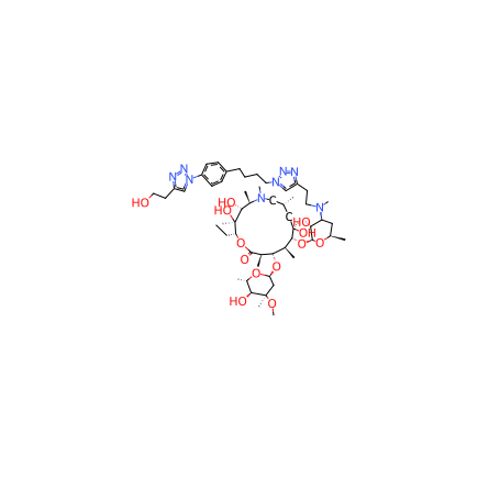 CC[C@H]1OC(=O)[C@H](C)[C@@H](O[C@H]2C[C@@](C)(OC)[C@@H](O)[C@H](C)O2)[C@H](C)[C@@H](O[C@@H]2O[C@H](C)C[C@H](N(C)CCc3cn(CCCCc4ccc(-n5cc(CCO)nn5)cc4)nn3)[C@H]2O)[C@](C)(O)C[C@@H](C)CN(C)[C@H](C)[C@@H](O)[C@]1(C)O